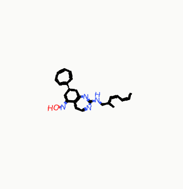 C/C=C\C=C/C(C)CNC1=NC2=C(CC=N1)/C(=N/O)C[C@@H](C1=CCC=CC=C1)C2